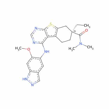 CC[C@]1(C(=O)N(C)C)CCc2c(sc3ncnc(Nc4cc5cn[nH]c5cc4OC)c23)C1